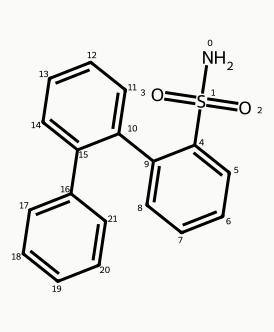 NS(=O)(=O)c1ccccc1-c1ccccc1-c1ccccc1